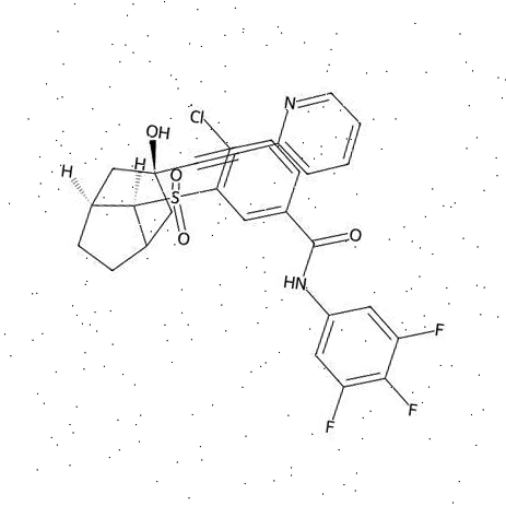 O=C(Nc1cc(F)c(F)c(F)c1)c1ccc(Cl)c(S(=O)(=O)[C@H]2C3CC[C@H]2C[C@](O)(C#Cc2ccccn2)C3)c1